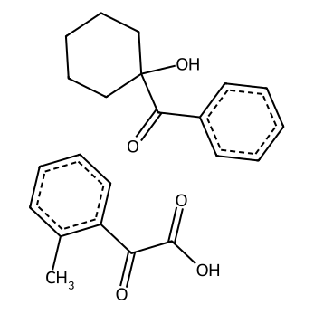 Cc1ccccc1C(=O)C(=O)O.O=C(c1ccccc1)C1(O)CCCCC1